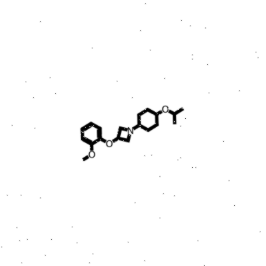 COc1ccccc1OC1CN(C2CCC(OC(C)C)CC2)C1